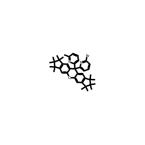 Cc1cccc(C2(c3cccc(Br)n3)c3cc4c(cc3Oc3cc5c(cc32)C(C)(C)C(C)(C)C5(C)C)C(C)(C)C(C)(C)C4(C)C)n1